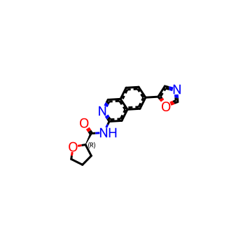 O=C(Nc1cc2cc(-c3cnco3)ccc2cn1)[C@H]1CCCO1